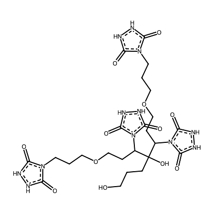 O=c1[nH][nH]c(=O)n1CCCOCCC(n1c(=O)[nH][nH]c1=O)C(O)(CCCO)C(CCOCCCn1c(=O)[nH][nH]c1=O)n1c(=O)[nH][nH]c1=O